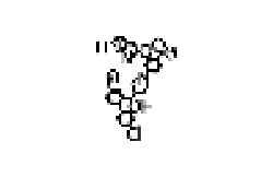 COC(=O)c1ccc(N2CCC(C(O)c3cc(C=O)ccc3-c3ccc(Cl)cc3)CC2)cc1Oc1cnc2[nH]ccc2c1